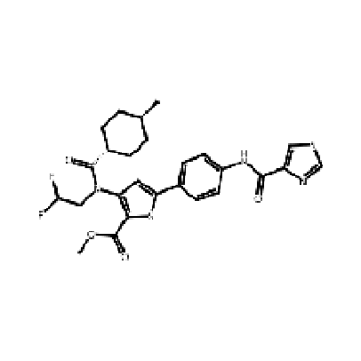 COC(=O)c1sc(-c2ccc(NC(=O)c3cscn3)cc2)cc1N(CC(F)F)C(=O)[C@H]1CC[C@H](C)CC1